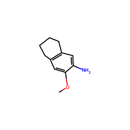 COc1cc2c(cc1N)CCCC2